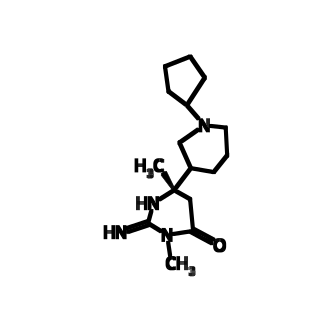 CN1C(=N)N[C@](C)(C2CCCN(C3CCCC3)C2)CC1=O